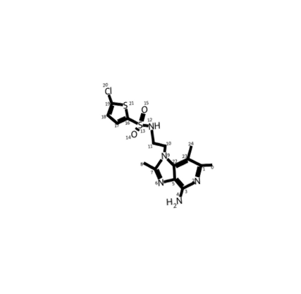 Cc1nc(N)c2nc(C)n(CCNS(=O)(=O)c3ccc(Cl)s3)c2c1C